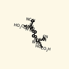 N#Cc1cncc(COc2nc(O[C@H]3CCc4c(-c5cccc6c5CC[C@@H]6Oc5nc(OCc6cncc(C#N)c6)c(CNC[C@@H](O)CC(=O)O)cc5Br)cccc43)c(Br)cc2CNC[C@@H](O)CC(=O)O)c1